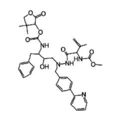 C=C(C)C(NC(=O)OC)C(=O)NN(Cc1ccc(-c2ccccn2)cc1)CC(O)C(Cc1ccccc1)NC(=O)OC1C(=O)OCC1(C)C